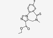 CCOC(=O)c1ncn2c1CN(C)C(=S)c1cc(F)ccc1-2